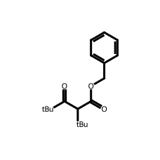 CC(C)(C)C(=O)C(C(=O)OCc1ccccc1)C(C)(C)C